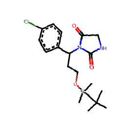 CC(C)(C)[Si](C)(C)OCCC(c1ccc(Cl)cc1)N1C(=O)CNC1=O